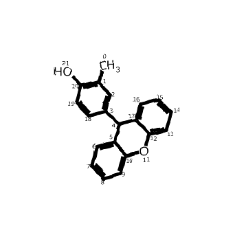 Cc1cc(C2c3ccccc3Oc3ccccc32)ccc1O